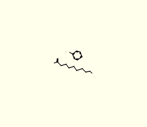 CCCCc1ccccc1.COC(=O)CCCCCCCCC(=O)O